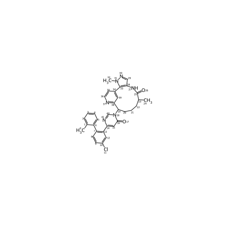 Cc1ccccc1-c1ccc(Cl)cc1-c1cc(=O)n(C2CCCC(C)C(=O)Nc3cnn(C)c3-c3ccnc2c3)cn1